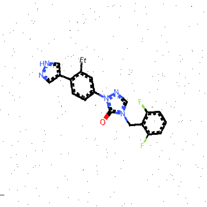 CCc1cc(-n2ncn(Cc3c(F)cccc3F)c2=O)ccc1-c1cn[nH]c1